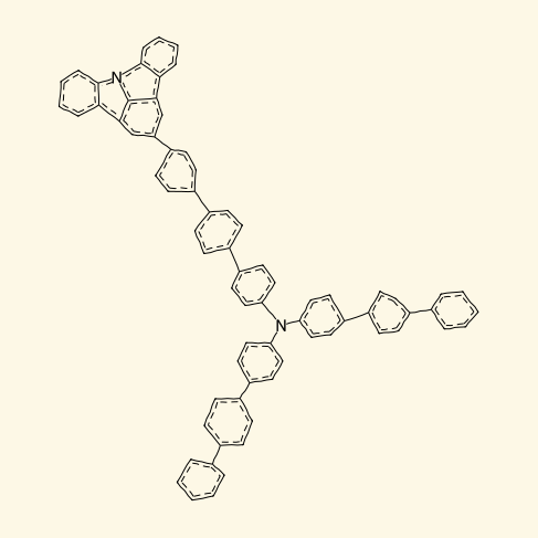 c1ccc(-c2ccc(-c3ccc(N(c4ccc(-c5ccc(-c6ccccc6)cc5)cc4)c4ccc(-c5ccc(-c6ccc(-c7cc8c9ccccc9n9c%10ccccc%10c(c7)c89)cc6)cc5)cc4)cc3)cc2)cc1